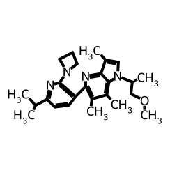 COC[C@H](C)n1cc(C)c2nc(-c3ccc(C(C)C)nc3N3CCC3)c(C)c(C)c21